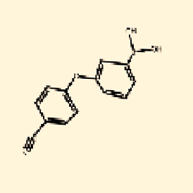 N#Cc1ccc(Oc2cccc(B(O)O)c2)cc1